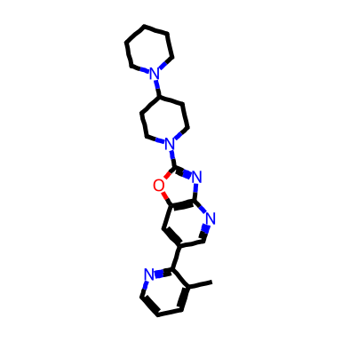 Cc1cccnc1-c1cnc2nc(N3CCC(N4CCCCC4)CC3)oc2c1